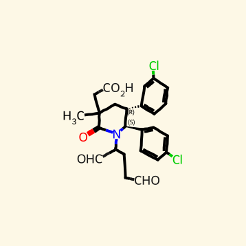 CC1(CC(=O)O)C[C@H](c2cccc(Cl)c2)[C@@H](c2ccc(Cl)cc2)N(C(C=O)CCC=O)C1=O